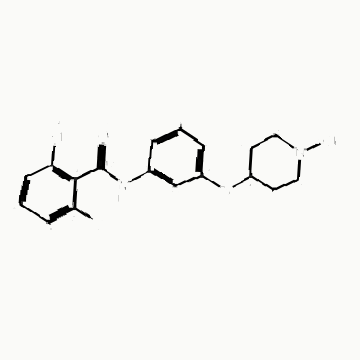 CN1CCC(Sc2cccc(NC(=O)c3c(Cl)cccc3Cl)c2)CC1